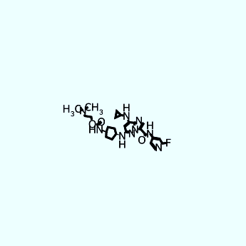 CN(C)CCOC(=O)N[C@H]1CC[C@H](Nc2cc(NC3CC3)c3ncc(C(=O)Nc4ccnc(F)c4)n3n2)CC1